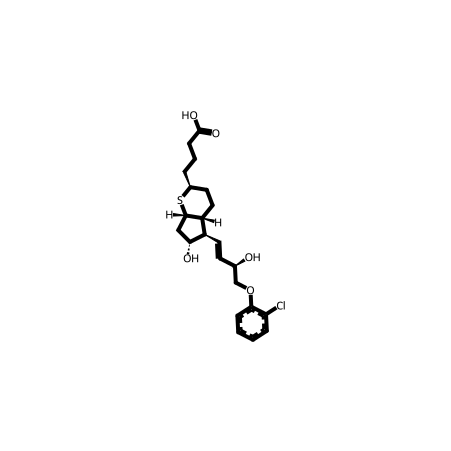 O=C(O)CCC[C@H]1CC[C@@H]2[C@@H](C=C[C@@H](O)COc3ccccc3Cl)[C@H](O)C[C@@H]2S1